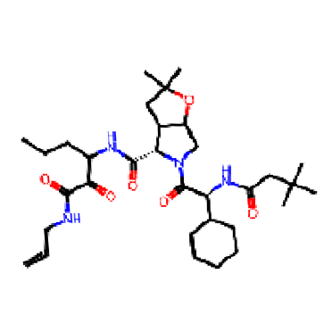 C=CCNC(=O)C(=O)C(CCC)NC(=O)[C@@H]1C2CC(C)(C)OC2CN1C(=O)[C@@H](NC(=O)CC(C)(C)C)C1CCCCC1